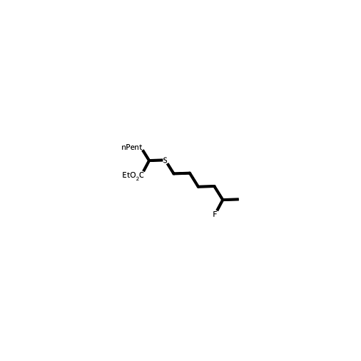 CCCCCC(SCCCCC(C)F)C(=O)OCC